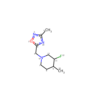 Cc1noc(CN2CCC(C)C(F)C2)n1